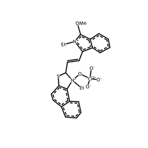 CCn1c(C=CC2Sc3ccc4ccccc4c3[N+]2(CC)O[Cl+3]([O-])([O-])[O-])c2ccccc2c1OC